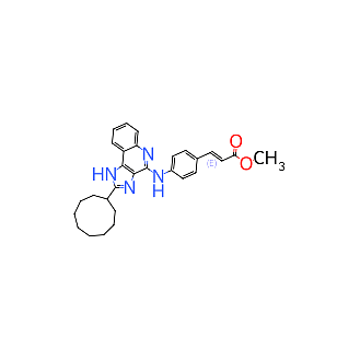 COC(=O)/C=C/c1ccc(Nc2nc3ccccc3c3[nH]c(C4CCCCCCCC4)nc23)cc1